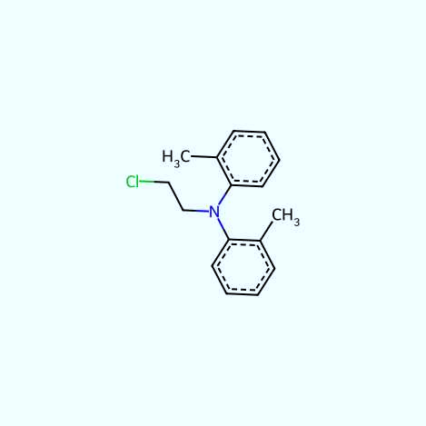 Cc1ccccc1N(CCCl)c1ccccc1C